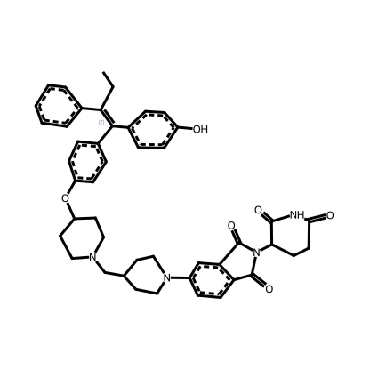 CC/C(=C(\c1ccc(O)cc1)c1ccc(OC2CCN(CC3CCN(c4ccc5c(c4)C(=O)N(C4CCC(=O)NC4=O)C5=O)CC3)CC2)cc1)c1ccccc1